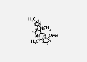 COc1cccc(C(C)n2ncc3c4sc(C)nc4n(C)c3c2=O)c1